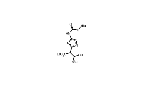 CCCCC(O)C(C(=O)OCC)c1nsc(NC(=O)OC(C)(C)C)n1